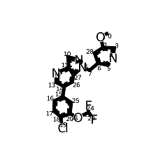 COc1cncc(Cn2ncc3ncc(-c4ccc(Cl)c(OC(F)F)c4)cc32)c1